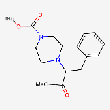 COC(=O)C(Cc1ccccc1)N1CCN(C(=O)OC(C)(C)C)CC1